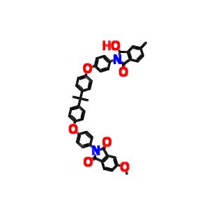 COc1ccc2c(c1)C(=O)N(c1ccc(Oc3ccc(C(C)(C)c4ccc(Oc5ccc(N6C(=O)c7ccc(C)cc7C6O)cc5)cc4)cc3)cc1)C2=O